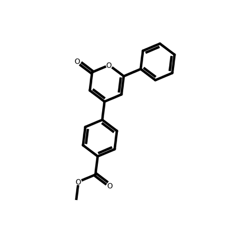 COC(=O)c1ccc(-c2cc(-c3ccccc3)oc(=O)c2)cc1